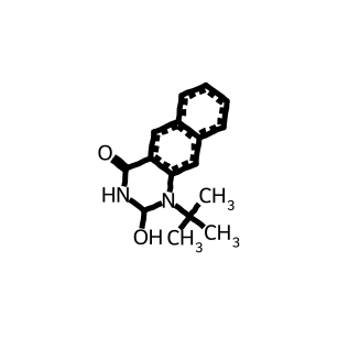 CC(C)(C)N1c2cc3ccccc3cc2C(=O)NC1O